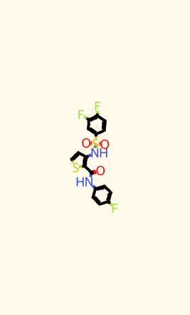 O=C(Nc1ccc(F)cc1)c1sccc1NS(=O)(=O)c1ccc(F)c(F)c1